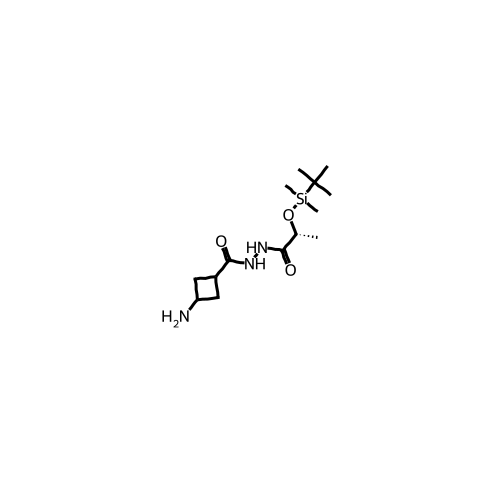 C[C@@H](O[Si](C)(C)C(C)(C)C)C(=O)NNC(=O)C1CC(N)C1